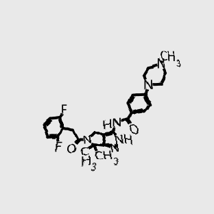 CN1CCN(c2ccc(C(=O)Nc3[nH]nc4c3CN(C(=O)Cc3c(F)cccc3F)C4(C)C)cc2)CC1